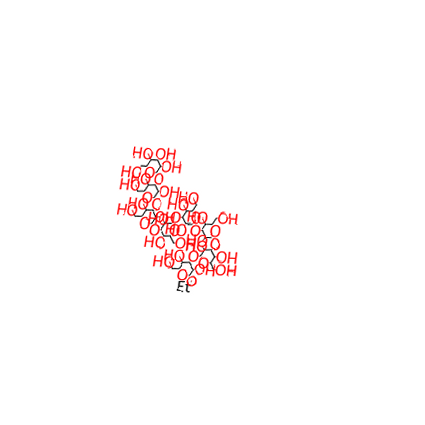 CCOC1OC(CO)C(O)C(OC2OC(CO)C(O)C(OC3OC(CO)C(O)C(OC4OC(CO)C(O)C(OC5OC(CO)C(O)C(OC6OC(CO)C(O)C(OC7OC(CO)C(O)C(OC8OC(CO)C(O)C(O)C8O)C7O)C6O)C5O)C4O)C3O)C2O)C1O